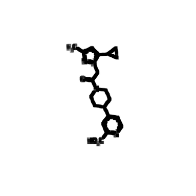 O=C(O)c1cc(C2CCN(C(=O)Cn3nc(C(F)(F)F)cc3C3CC3)CC2)ccn1